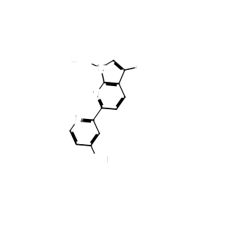 Cc1ccnc(-c2ccc3c(C)cn(C)c3n2)c1